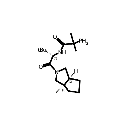 CC(C)(P)C(=O)N[C@H](C(=O)N1C[C@H]2CCC[C@@]2(C)C1)C(C)(C)C